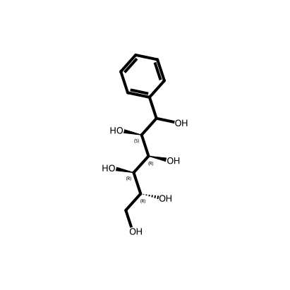 OC[C@@H](O)[C@@H](O)[C@H](O)[C@@H](O)C(O)c1ccccc1